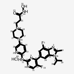 Cc1nc2c(F)cc(-c3nc(Nc4ccc(N5CCN(CCC(=O)NO)CC5)cn4)ncc3F)cc2n1C(C)C.Cl